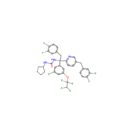 O=C(NC1CCCC1)NC(Cc1ccc(F)c(F)c1)(c1cc(F)cc(OC(F)(F)C(F)F)c1)c1ccc(Cc2ccc(F)c(F)c2)cn1